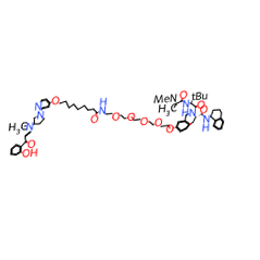 CN[C@@H](C)C(=O)N[C@H](C(=O)N1Cc2cc(OCCOCCOCCOCCOCCNC(=O)CCCCCCCCOc3ccnc(N4CC[C@@H](N(C)/C=C/C(=O)c5ccccc5O)C4)c3)ccc2C[C@H]1C(=O)N[C@@H]1CCCc2ccccc21)C(C)(C)C